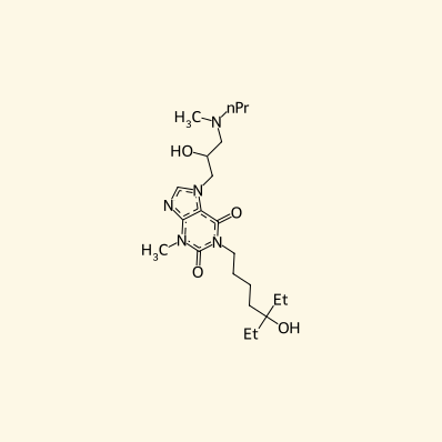 CCCN(C)CC(O)Cn1cnc2c1c(=O)n(CCCCC(O)(CC)CC)c(=O)n2C